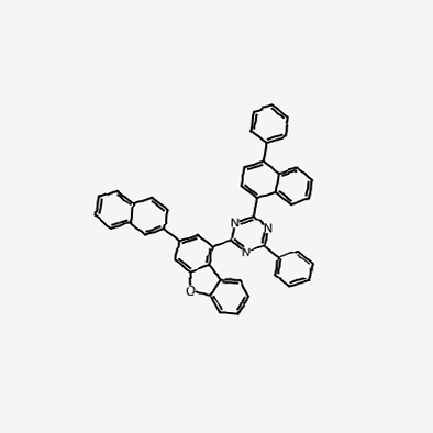 c1ccc(-c2nc(-c3ccc(-c4ccccc4)c4ccccc34)nc(-c3cc(-c4ccc5ccccc5c4)cc4oc5ccccc5c34)n2)cc1